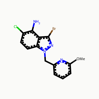 COc1cccc(Cn2nc(Br)c3c(N)c(Cl)ccc32)n1